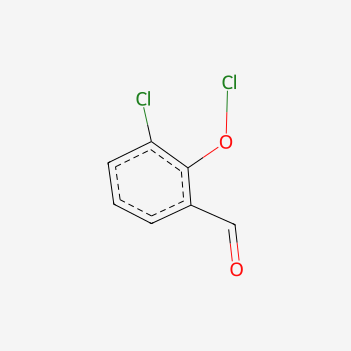 O=Cc1cccc(Cl)c1OCl